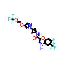 O=C(NC12CC(n3cc(OCCOC(F)(F)F)cn3)(C1)C2)C1CNc2cc(C(F)(F)F)c(F)cc2O1